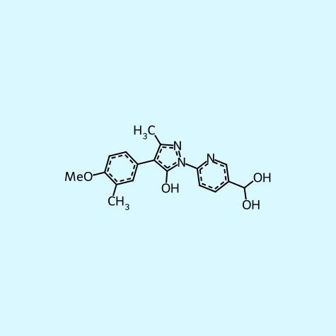 COc1ccc(-c2c(C)nn(-c3ccc(C(O)O)cn3)c2O)cc1C